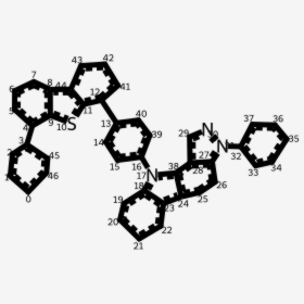 c1ccc(-c2cccc3c2sc2c(-c4ccc(-n5c6ccccc6c6ccc7c(cnn7-c7ccccc7)c65)cc4)cccc23)cc1